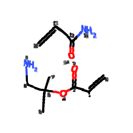 C=CC(=O)OC(C)(C)CN.C=CC(N)=O